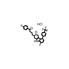 Cl.O=C(CCCC1Cc2[nH]c3c(F)ccc(-c4ccc(C(F)(F)F)cc4)c3c2CN1)c1ccc(F)cc1